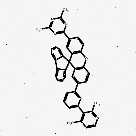 Cc1nc(C)nc(-c2ccc3c(c2)C2(c4cc(-c5cccc(-c6c(C)ccnc6C)c5)ccc4O3)c3ccccc3-c3ccccc32)n1